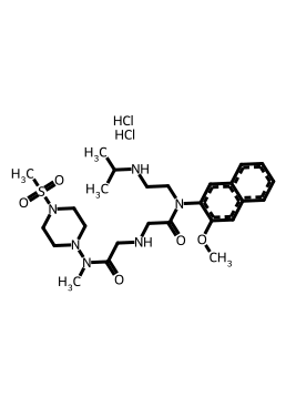 COc1cc2ccccc2cc1N(CCNC(C)C)C(=O)CNCC(=O)N(C)N1CCN(S(C)(=O)=O)CC1.Cl.Cl